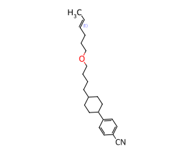 C/C=C/CCCOCCCCC1CCC(c2ccc(C#N)cc2)CC1